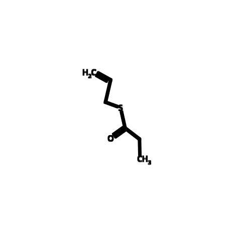 C=CCSC(=O)CC